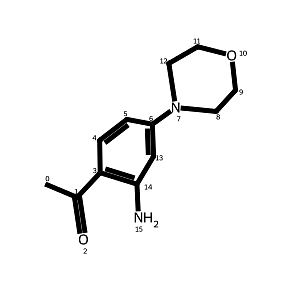 CC(=O)c1ccc(N2CCOCC2)cc1N